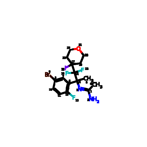 C/C(N)=N\C(C)(c1cc(Br)ccc1F)C(F)(F)C1(I)CCOCC1